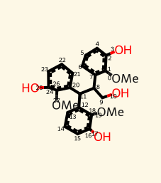 COc1c(O)cccc1C(CO)C(c1cccc(O)c1OC)c1cccc(O)c1OC